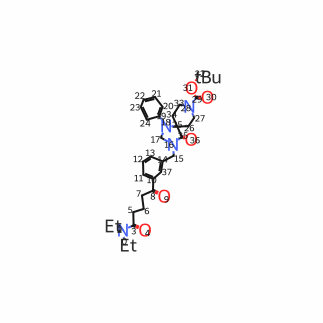 CCN(CC)C(=O)CCCC(=O)c1cccc(CN2CN(c3ccccc3)C3(CCN(C(=O)OC(C)(C)C)CC3)C2=O)c1